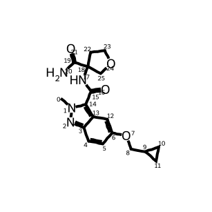 Cn1nc2ccc(OCC3CC3)cc2c1C(=O)NC1(C(N)=O)CCOC1